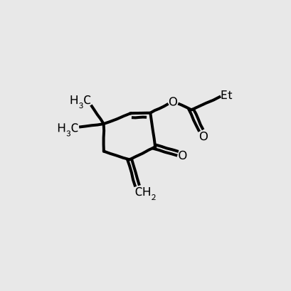 C=C1CC(C)(C)C=C(OC(=O)CC)C1=O